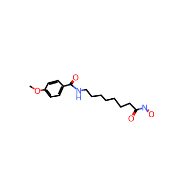 COc1ccc(C(=O)NCCCCCCCC(=O)N=O)cc1